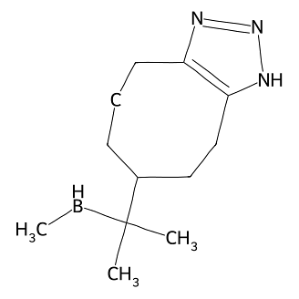 CBC(C)(C)C1CCCc2nn[nH]c2CC1